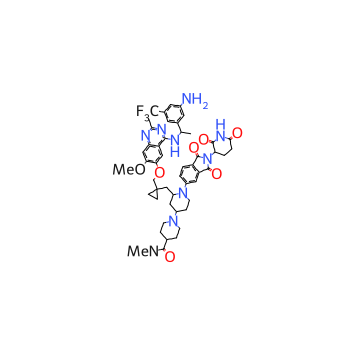 CNC(=O)C1CCN(C2CCN(c3ccc4c(c3)C(=O)N(C3CCC(=O)NC3=O)C4=O)C(CC3(COc4cc5c(NC(C)c6cc(N)cc(C(F)(F)F)c6)nc(C)nc5cc4OC)CC3)C2)CC1